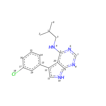 CC(C)CNc1ncnc2[nH]cc(-c3cccc(Cl)c3)c12